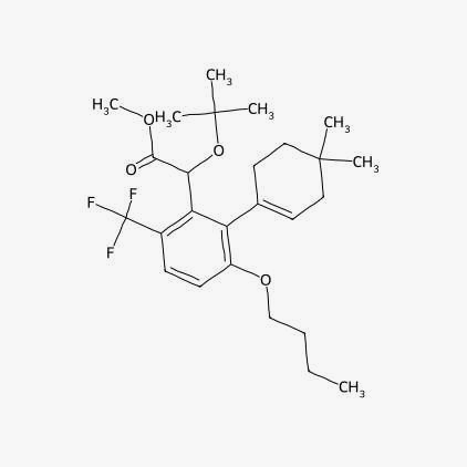 CCCCOc1ccc(C(F)(F)F)c(C(OC(C)(C)C)C(=O)OC)c1C1=CCC(C)(C)CC1